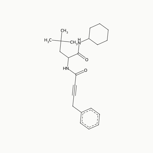 CC(C)(C)CC(NC(=O)C#CCc1ccccc1)C(=O)NC1CCCCC1